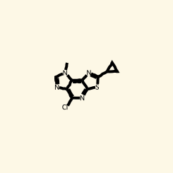 Cn1cnc2c(Cl)nc3sc(C4CC4)nc3c21